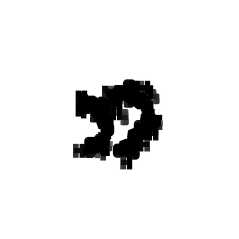 CC1(C)C(=O)N(c2ccc(C#N)c(C(F)(F)F)c2)C(=S)N1C1CCC(OCCN2CCN(CC(=O)Nc3cccc(NC4CCC(=O)NC4=O)c3)C(C(F)(F)F)C2)CC1.CC1(C)C(=O)N(c2ccc(C#N)c(C(F)(F)F)c2)C(=S)N1C1CCC(OCCN2CCN(CC(=O)O)C(C(F)(F)F)C2)CC1